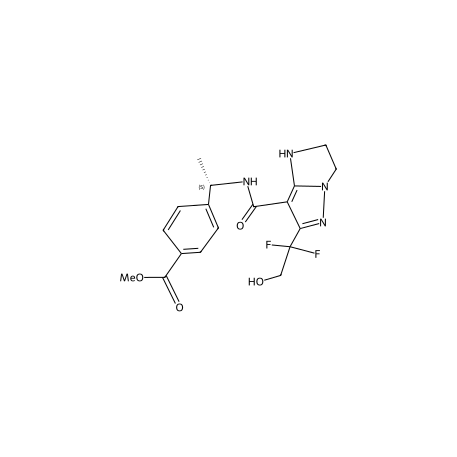 COC(=O)c1ccc([C@H](C)NC(=O)c2c(C(F)(F)CO)nn3c2NCC3)cc1